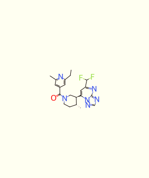 CCc1cc(C(=O)N2CC[C@@H](C)[C@H](c3cc(C(F)F)nc4ncnn34)C2)cc(C)n1